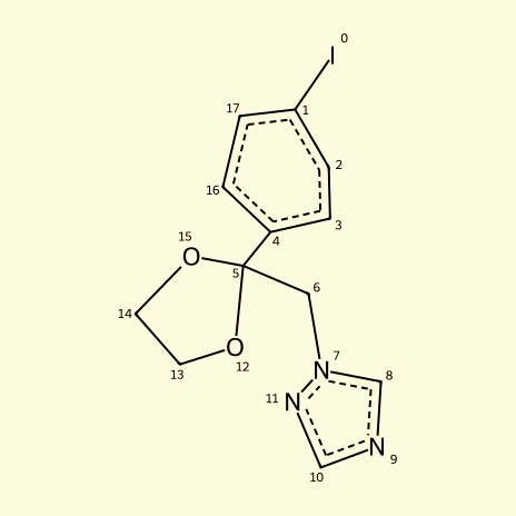 Ic1ccc(C2(Cn3cncn3)OCCO2)cc1